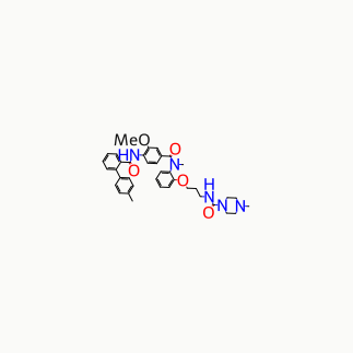 COc1cc(C(=O)N(C)c2ccccc2OCCCNC(=O)N2CCN(C)CC2)ccc1NC(=O)c1ccccc1-c1ccc(C)cc1